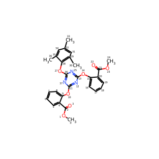 COC(=O)c1ccccc1Oc1nc(Oc2ccccc2C(=O)OC)nc(Oc2c(C)cc(C)cc2C)n1